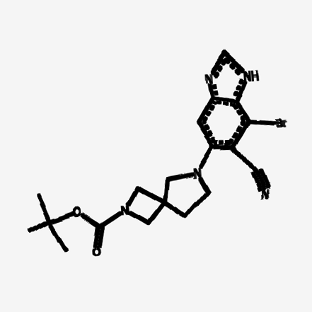 CC(C)(C)OC(=O)N1CC2(CCN(c3cc4nc[nH]c4c(Br)c3C#N)C2)C1